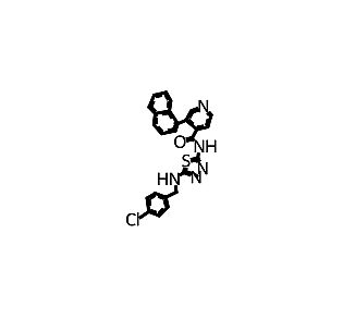 O=C(Nc1nnc(NCc2ccc(Cl)cc2)s1)c1ccncc1-c1cccc2ccccc12